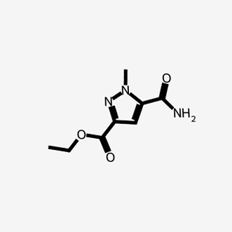 CCOC(=O)c1cc(C(N)=O)n(C)n1